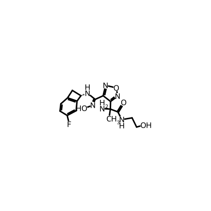 CC(N)(C(=O)NCCO)c1nonc1C(=NO)N[C@H]1Cc2ccc(F)cc21